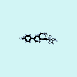 C[Si](C)(C)C#Cc1ncc(-c2ccc(Cl)cc2)cc1CN